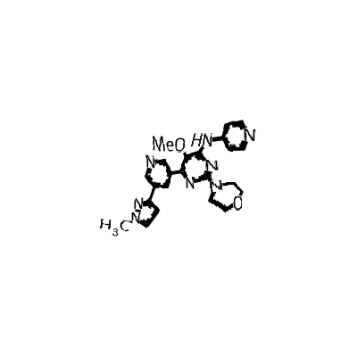 COc1c(Nc2ccncc2)nc(N2CCOCC2)nc1-c1cncc(-c2ccn(C)n2)c1